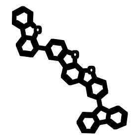 c1ccc2c(c1)-c1ccccc1C2c1ccc2oc3c(ccc4c5cc(-c6cccc7c6oc6ccccc67)ccc5oc43)c2c1